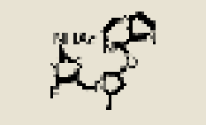 CC(=O)Nc1nc(F)c(CN2CC(Oc3nccn4ccnc34)CC2C)s1